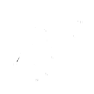 O=C(Nc1nncs1)c1cnc2[nH]ccc2c1N[C@H]1C2CC3CC1C[C@@](O)(C3)C2